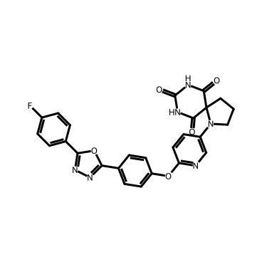 O=C1NC(=O)C2(CCCN2c2ccc(Oc3ccc(-c4nnc(-c5ccc(F)cc5)o4)cc3)nc2)C(=O)N1